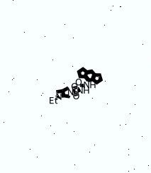 CCN1CC2CN(S(=O)(=O)NC(=O)Nc3c4c(cc5c3CCC5)CCC4)CC21